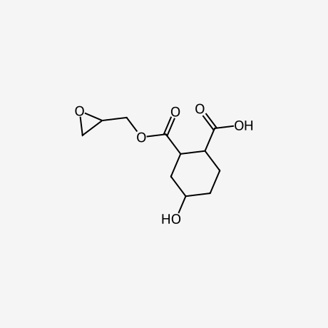 O=C(O)C1CCC(O)CC1C(=O)OCC1CO1